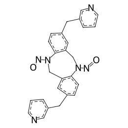 O=NN1Cc2cc(Cc3cccnc3)ccc2N(N=O)Cc2cc(Cc3cccnc3)ccc21